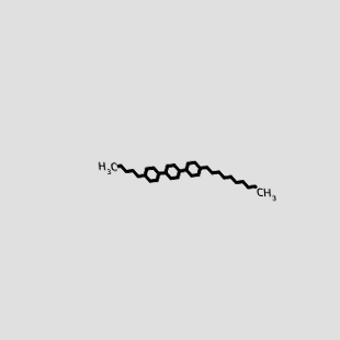 CCCCCCCCCCC1CCC(C2CCC(C3CCC(CCCCC)CC3)CC2)CC1